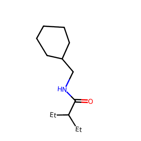 CCC(CC)C(=O)NCC1CCCCC1